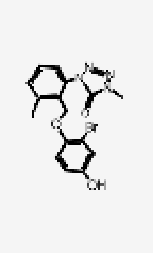 Cn1nnn(-c2cccc(I)c2COc2ccc(O)cc2Br)c1=O